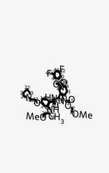 COCCOC(=O)n1nc(NC(=O)c2ccc(OCCN3CCCC3)cc2N[C@H](C)COC)c2c1CCN(S(=O)(=O)c1cc(F)cc(F)c1)C2